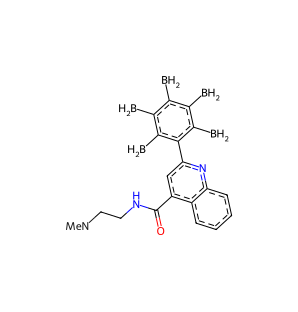 Bc1c(B)c(B)c(-c2cc(C(=O)NCCNC)c3ccccc3n2)c(B)c1B